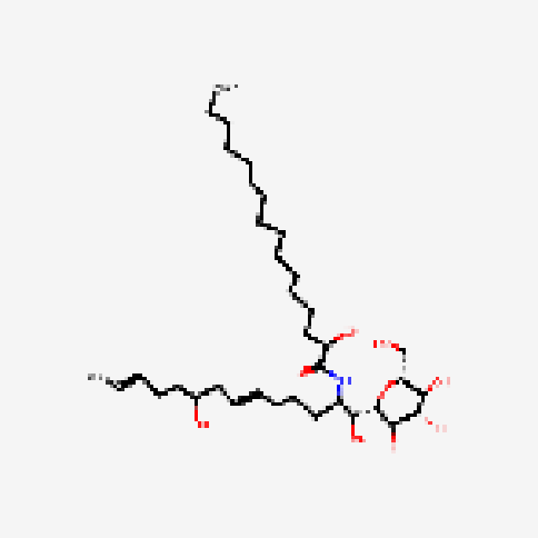 CCCC/C=C/CCC(O)C/C=C/CCCC(NC(=O)C(O)CCCCCCCCCCCCCCCCCCCCCCC)C(O)[C@@H]1O[C@H](CO)[C@@H](O)[C@H](O)[C@H]1O